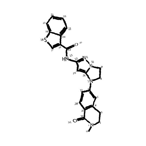 CN1CCc2cc(N3CCn4nc(NC(=O)c5csc6ccccc56)cc43)ccc2C1=O